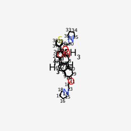 C[C@]12CC[C@H]3[C@@H](CCC4=C[C@@H](OCCN5CCCC5)CC[C@@]43C)[C@@]1(O)CC[C@]2(OCCN1CCCC1)c1ccsc1